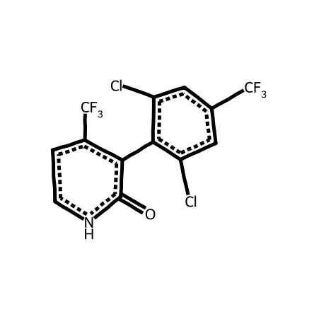 O=c1[nH]ccc(C(F)(F)F)c1-c1c(Cl)cc(C(F)(F)F)cc1Cl